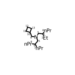 CCCC(CC)CN(CC(CCC)CCC)CC1CCC1